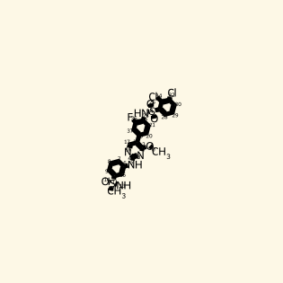 COc1nc(Nc2cccc(S(C)(=N)=O)c2)ncc1-c1ccc(NS(=O)(=O)c2cccc(Cl)c2Cl)c(F)c1